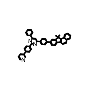 CC1(C)c2cc(-c3ccc(-c4cc(-c5ccccc5)nc(-c5ccc(-c6cccnc6)cc5)n4)cc3)ccc2-c2ccc3ccccc3c21